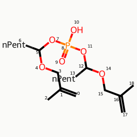 C=C(C)COC(CCCCC)OP(=O)(O)OC(CCCCC)OCC(=C)C